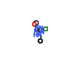 Clc1nc(NCc2ccccc2)c2ncn(C3CCCCO3)c2n1